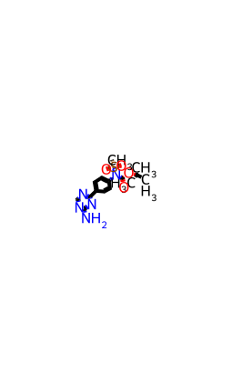 CC(C)(C)OC(=O)N(c1ccc(-c2ncnc(N)n2)cc1)S(C)(=O)=O